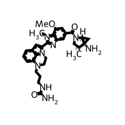 COc1cc(C(=O)N2C[C@@H](C)[C@]3(N)C[C@@H]23)cc2nc(-c3cc4cccc5c4n3CCN5CCCNC(N)=O)n(C)c12